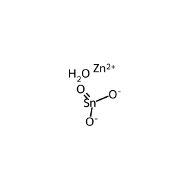 O.[O]=[Sn]([O-])[O-].[Zn+2]